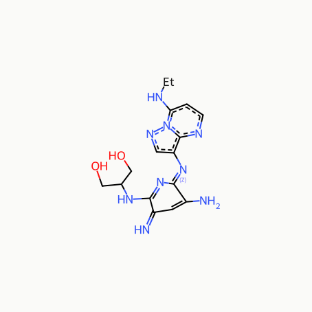 CCNc1ccnc2c(/N=C3\N=C(NC(CO)CO)C(=N)C=C3N)cnn12